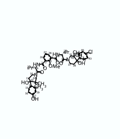 COc1c(C(=O)N[C@H](C(=O)N2CC[C@@](O)(c3ccc(O)cc3)C(C)(C)C2)C(C)C)cccc1C(=O)N[C@@H](C(=O)N1CC[C@](O)(c2ccc(Cl)cc2)C(C)(C)C1)C(C)C